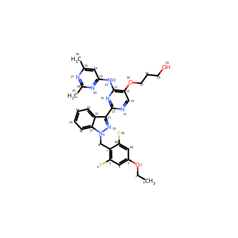 CCOc1cc(F)c(Cn2nc(-c3ncc(OCCCO)c(Nc4cc(C)nc(C)n4)n3)c3ccccc32)c(F)c1